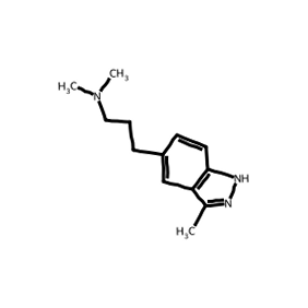 Cc1n[nH]c2ccc(CCCN(C)C)cc12